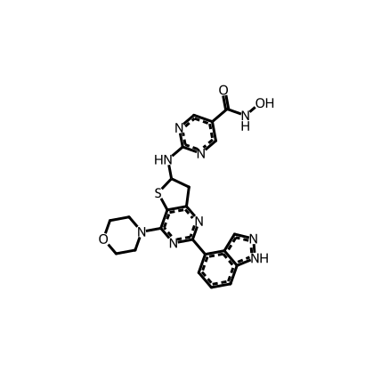 O=C(NO)c1cnc(NC2Cc3nc(-c4cccc5[nH]ncc45)nc(N4CCOCC4)c3S2)nc1